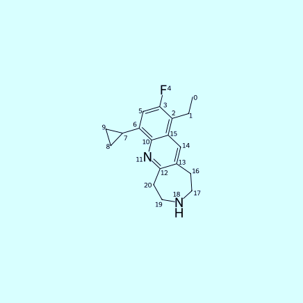 CCc1c(F)cc(C2CC2)c2nc3c(cc12)CCNCC3